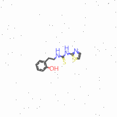 Oc1ccccc1CCNC(=S)Nc1nccs1